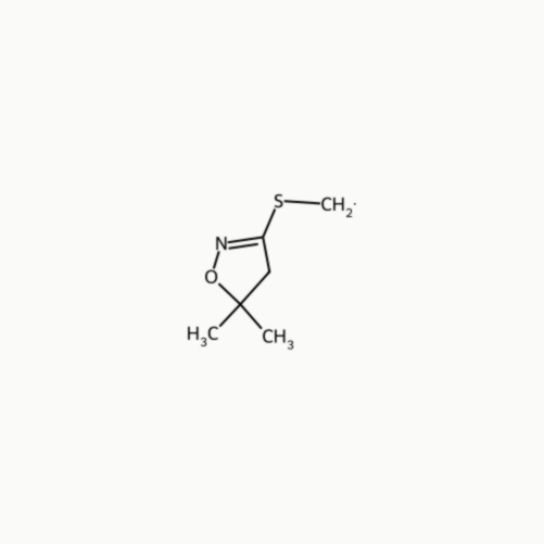 [CH2]SC1=NOC(C)(C)C1